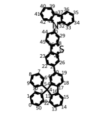 c1ccc(C2(c3ccccc3)c3ccccc3-c3ccc(-c4ccc5c(c4)sc4cc(-n6c7ccccc7c7ccccc76)ccc45)cc32)cc1